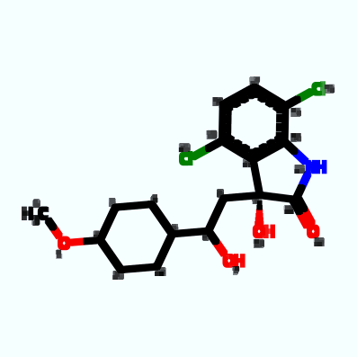 COC1CCC(C(O)C[C@]2(O)C(=O)Nc3c(Cl)ccc(Cl)c32)CC1